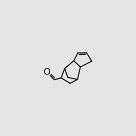 O=CC1CC2CC1C1C=CCC21